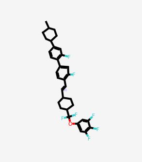 CC1CCC(c2ccc(-c3ccc(/C=C/C4CCC(C(F)(F)Oc5cc(F)c(F)c(F)c5)CC4)c(F)c3)c(F)c2)CC1